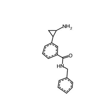 NC1CC1c1cccc(C(=O)NCc2ccccc2)c1